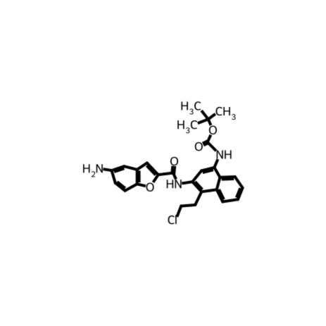 CC(C)(C)OC(=O)Nc1cc(NC(=O)c2cc3cc(N)ccc3o2)c(CCCl)c2ccccc12